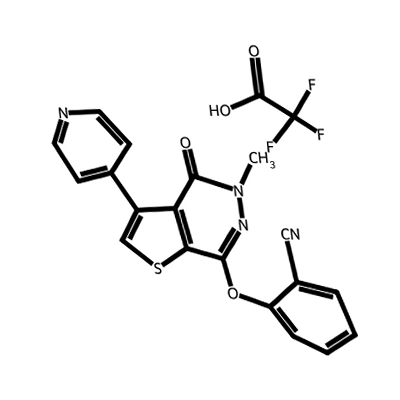 Cn1nc(Oc2ccccc2C#N)c2scc(-c3ccncc3)c2c1=O.O=C(O)C(F)(F)F